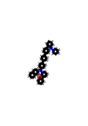 c1ccc(-n2c3ccccc3c3ccc(-c4ccc(-c5ccc(N(c6ccc7ccccc7c6)c6cccc7c6oc6ccccc67)cc5)cc4)cc32)cc1